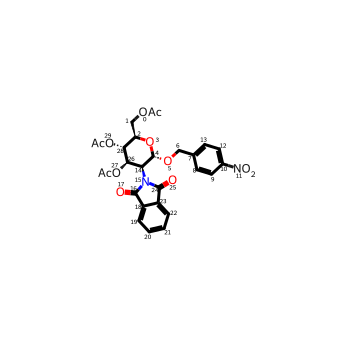 CC(=O)OC[C@H]1O[C@H](OCc2ccc([N+](=O)[O-])cc2)[C@@H](N2C(=O)c3ccccc3C2=O)[C@@H](OC(C)=O)[C@@H]1OC(C)=O